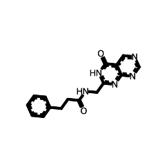 O=C(CCc1ccccc1)NCc1nc2ncncc2c(=O)[nH]1